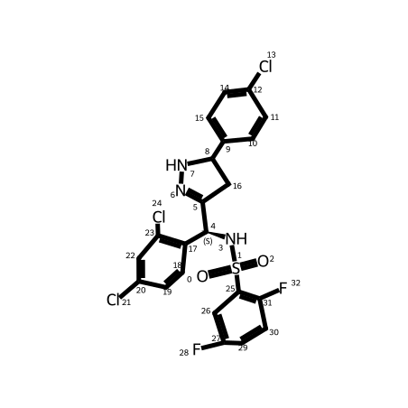 O=S(=O)(N[C@H](C1=NNC(c2ccc(Cl)cc2)C1)c1ccc(Cl)cc1Cl)c1cc(F)ccc1F